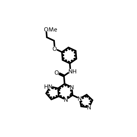 COCCOc1cccc(NC(=O)c2nc(-n3ccnc3)nc3cc[nH]c23)c1